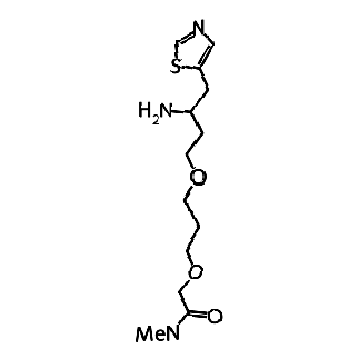 CNC(=O)COCCCOCCC(N)Cc1cncs1